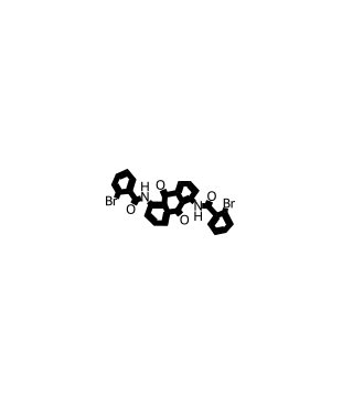 O=C(Nc1cccc2c1C(=O)c1cccc(NC(=O)c3ccccc3Br)c1C2=O)c1ccccc1Br